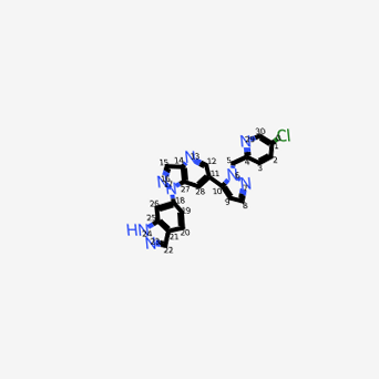 Clc1ccc(Cn2nccc2-c2cnc3cnn(-c4ccc5cn[nH]c5c4)c3c2)nc1